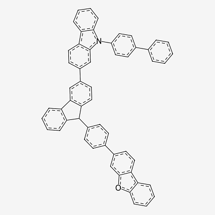 c1ccc(-c2ccc(-n3c4ccccc4c4ccc(-c5ccc6c(c5)-c5ccccc5C6c5ccc(-c6ccc7c(c6)oc6ccccc67)cc5)cc43)cc2)cc1